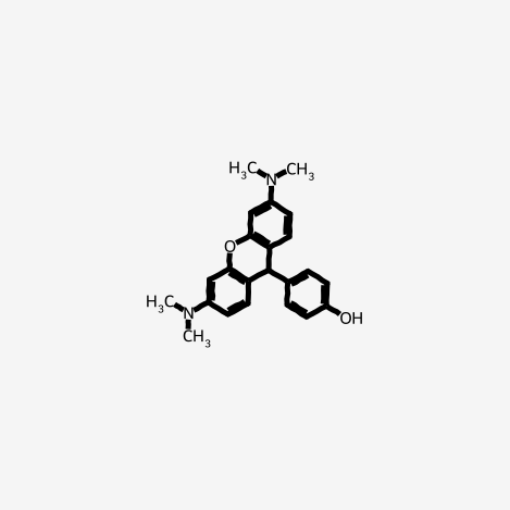 CN(C)c1ccc2c(c1)Oc1cc(N(C)C)ccc1C2c1ccc(O)cc1